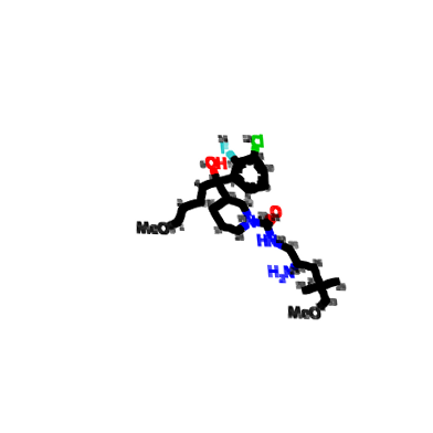 COCCCCC(O)(c1cccc(Cl)c1F)C1CCCN(C(=O)NCC(N)CC(C)(C)COC)C1